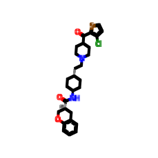 O=C(c1sccc1Cl)C1CCN(CC[C@H]2CC[C@H](NC(=O)[C@H]3COc4ccccc4C3)CC2)CC1